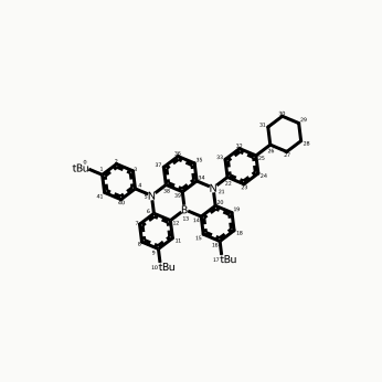 CC(C)(C)c1ccc(N2c3ccc(C(C)(C)C)cc3B3c4cc(C(C)(C)C)ccc4N(c4ccc(C5CCCCC5)cc4)c4cccc2c43)cc1